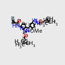 COc1cc2c(cnn2COCC[Si](C)(C)C)cc1-c1nn(COCC[Si](C)(C)C)c2nc(NC(=O)[C@@H]3C[C@@H]3F)ccc12